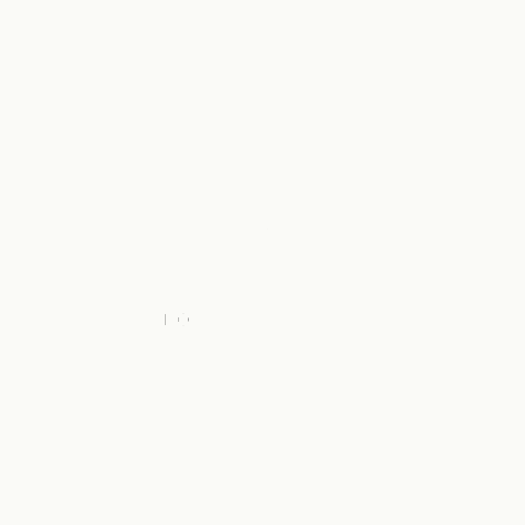 Cc1cc(C)cc([CH]O)c1